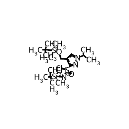 CC(C)n1cc(CO[Si](C)(C)C(C)(C)C)c(S(=O)(Cl)=N[Si](C)(C)C(C)(C)C)n1